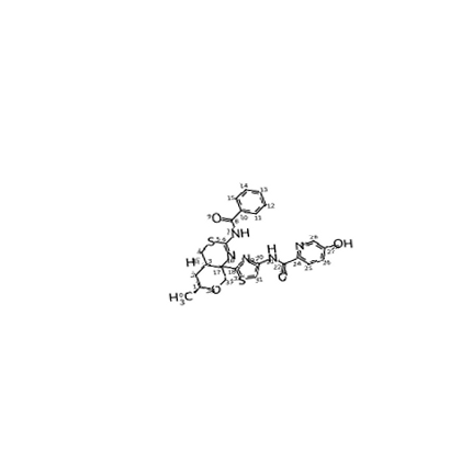 C[C@H]1C[C@H]2CSC(NC(=O)c3ccccc3)=NC2(c2nc(NC(=O)c3ccc(O)cn3)cs2)CO1